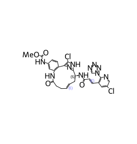 COC(=O)Nc1ccc2c(c1)NC(=O)CC/C=C/C[C@H](NC(=O)/C=C/c1cc(Cl)cnc1-n1cnnn1)c1nc-2c(Cl)[nH]1